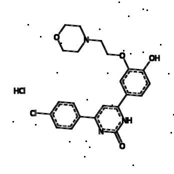 Cl.O=c1nc(-c2ccc(Cl)cc2)cc(-c2ccc(O)c(OCCN3CCOCC3)c2)[nH]1